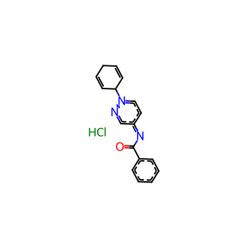 Cl.O=C(N=c1ccn(C2C=CCC=C2)nc1)c1ccccc1